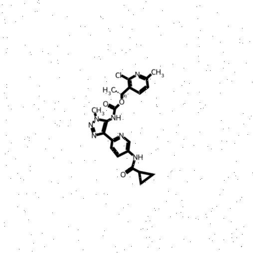 Cc1ccc([C@@H](C)OC(=O)Nc2c(-c3ccc(NC(=O)C4CC4)cn3)nnn2C)c(Cl)n1